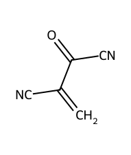 C=C(C#N)C(=O)C#N